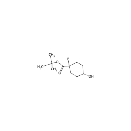 CC(C)(C)OC(=O)C1(F)CCC(O)CC1